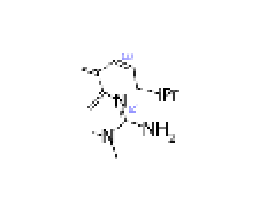 C=C(/C=C\CC(C)C)C(=C)/N=C(/N)N(C)C